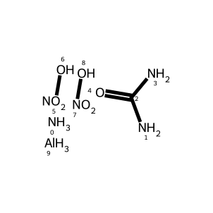 N.NC(N)=O.O=[N+]([O-])O.O=[N+]([O-])O.[AlH3]